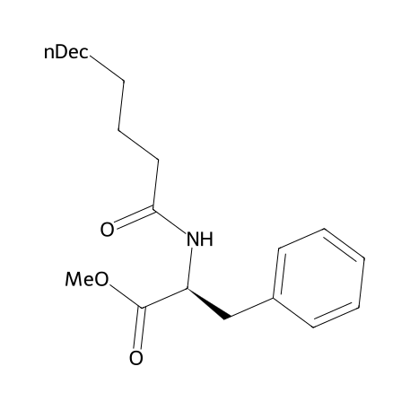 CCCCCCCCCCCCCC(=O)N[C@@H](Cc1ccccc1)C(=O)OC